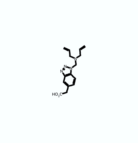 C=CCN(CC=C)Cn1nnc2cc(CC(=O)O)ccc21